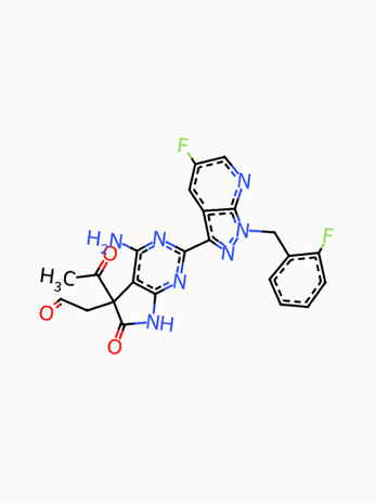 CC(=O)C1(CC=O)C(=O)Nc2nc(-c3nn(Cc4ccccc4F)c4ncc(F)cc34)nc(N)c21